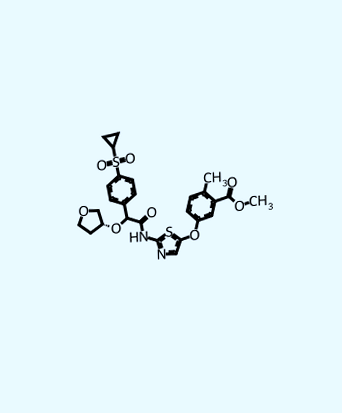 COC(=O)c1cc(Oc2cnc(NC(=O)C(O[C@@H]3CCOC3)c3ccc(S(=O)(=O)C4CC4)cc3)s2)ccc1C